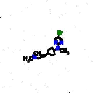 CN(C)CC#CC1CCC(N(C)c2ncc(Br)cn2)CC1